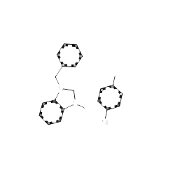 CCCCN1CN(Cc2ccccc2)c2ccccc21.Nc1ccc(C(=O)O)cc1